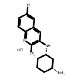 Cl.N[C@@H]1CCC[C@H](Nc2cc3cc(Cl)ccc3nc2C(F)(F)F)C1